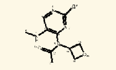 CNc1cnc(Cl)nc1N(C(C)=O)C1COC1